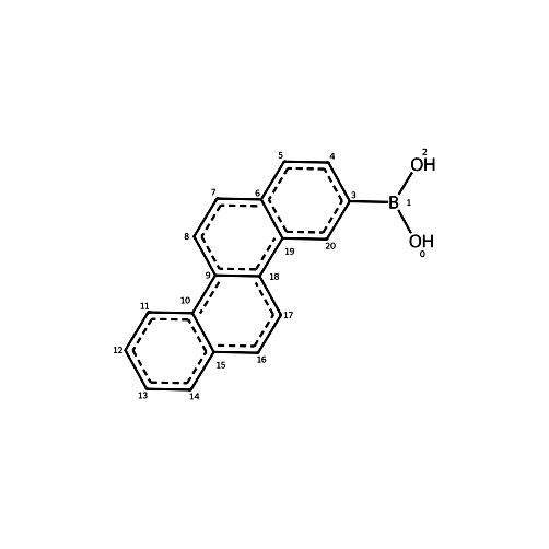 OB(O)c1ccc2ccc3c4ccccc4ccc3c2c1